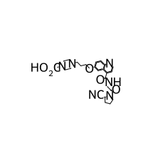 N#C[C@@H]1CCCN1C(=O)CNC(=O)c1ccnc2ccc(OCCCN3CCN(C(=O)O)CC3)cc12